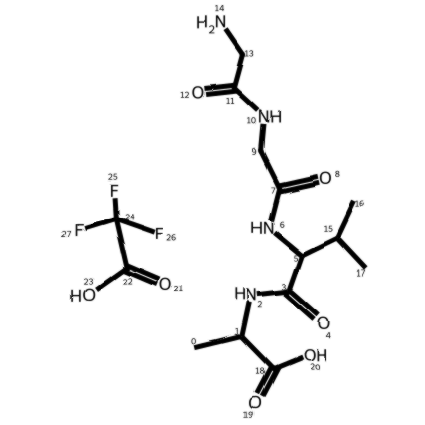 CC(NC(=O)C(NC(=O)CNC(=O)CN)C(C)C)C(=O)O.O=C(O)C(F)(F)F